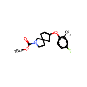 CC(C)(C)OC(=O)N1CCC2(CCC(Oc3ccc(F)cc3C(F)(F)F)C2)C1